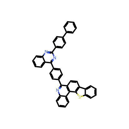 c1ccc(-c2ccc(-c3nc(-c4ccc(-c5nc6ccccc6c6c5ccc5c7ccccc7sc56)cc4)c4ccccc4n3)cc2)cc1